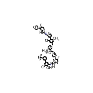 Cc1cc(CN2CCN(C)C(C(O)CN3CCN(c4nc(N/N=C/c5cc(-c6cccc(C(F)(F)F)c6)cc(Cl)c5O)ncc4F)CC3)C2)cc(Cl)c1-c1ccnc(/C=N/Nc2ncc(F)c(N3CCOCC3)n2)c1